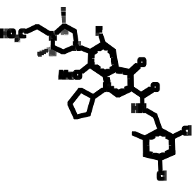 COc1c(N2C[C@@H](C)N(CC(=O)O)[C@@H](C)C2)c(F)cc2c(=O)c(C(=O)NCc3c(C)cc(Cl)cc3Cl)cn(C3CCCC3)c12